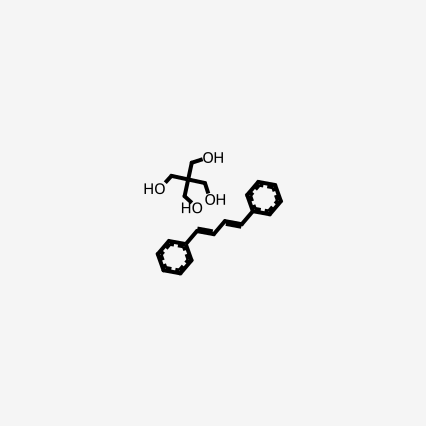 C(/C=C/c1ccccc1)=C\c1ccccc1.OCC(CO)(CO)CO